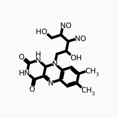 Cc1cc2c(cc1C)N(CC(O)C(N=O)C(CO)N=O)C1NC(=O)NC(=O)C1=N2